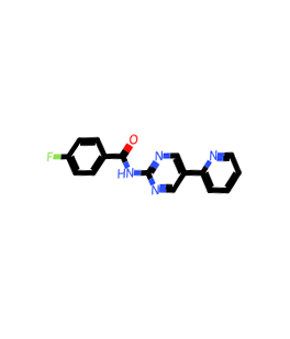 O=C(Nc1ncc(-c2ccccn2)cn1)c1ccc(F)cc1